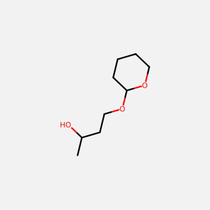 CC(O)CCOC1CCCCO1